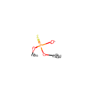 CCCCOP([O])(=S)OCCCC